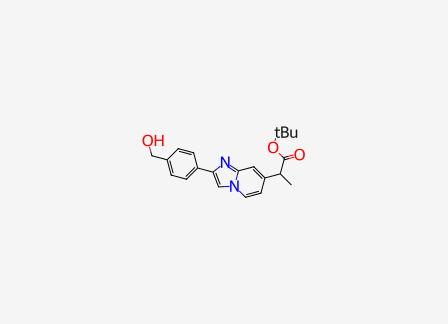 CC(C(=O)OC(C)(C)C)c1ccn2cc(-c3ccc(CO)cc3)nc2c1